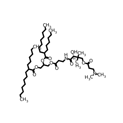 CCCCCCCCC(CCCCCC)C(=O)OCC(COC(=O)CCNC(=O)[C@H](O)C(C)(C)COC(=O)CCN(C)C)OC(=O)C(CCCCCC)CCCCCCCC